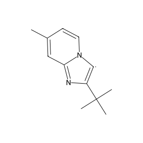 Cc1ccn2[c]c(C(C)(C)C)nc2c1